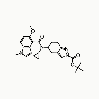 COc1ccc2c(ccn2C)c1C(=O)N(C1CC1)C1CCc2nn(C(=O)OC(C)(C)C)cc2C1